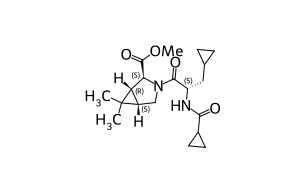 COC(=O)[C@@H]1[C@@H]2[C@H](CN1C(=O)[C@H](CC1CC1)NC(=O)C1CC1)C2(C)C